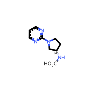 O=C(O)N[C@H]1CCN(c2ncccn2)C1